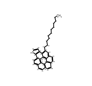 CCCCCCCCCCCCc1cc2ccc3ccc4ccc5ccc6c7sccc7c1c1c2c3c4c5c61